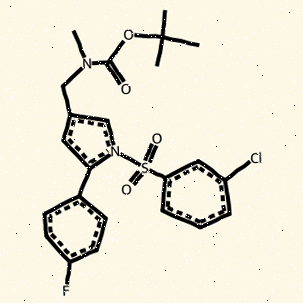 CN(Cc1cc(-c2ccc(F)cc2)n(S(=O)(=O)c2cccc(Cl)c2)c1)C(=O)OC(C)(C)C